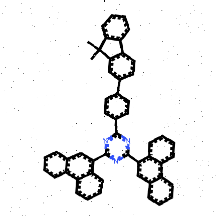 CC1(C)c2ccccc2-c2ccc(-c3ccc(-c4nc(-c5cc6ccccc6c6ccccc56)nc(-c5cc6ccccc6c6ccccc56)n4)cc3)cc21